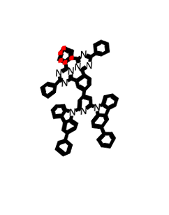 c1ccc(-c2ccc3c(c2)c2ccccc2n3-c2cc(-c3ccc(-c4nc(-c5ccccc5)nc(-c5ccccc5)n4)c(-c4nc(-c5ccccc5)nc(-c5ccccc5)n4)c3)cc(-n3c4ccccc4c4cc(-c5ccccc5)ccc43)n2)cc1